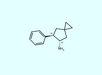 N[C@H]1CC2(CC2)C[C@@H]1c1ccccc1